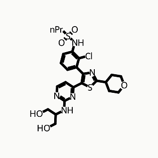 CCCS(=O)(=O)Nc1cccc(-c2nc(C3CCOCC3)sc2-c2ccnc(NC(CO)CO)n2)c1Cl